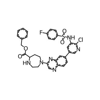 O=C(OCc1ccccc1)C1CCN(c2cnc3ccc(-c4cnc(Cl)c(NS(=O)(=O)c5ccc(F)cc5)c4)cc3n2)CCN1